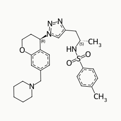 Cc1ccc(S(=O)(=O)N[C@@H](C)Cc2cn([C@@H]3CCOc4cc(CN5CCCCC5)ccc43)nn2)cc1